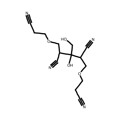 N#CCCOCC(C#N)C(O)(CO)C(C#N)COCCC#N